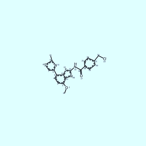 COc1ccc(-c2csc(C)n2)c2sc(NC(=O)c3ccc(CCl)cc3)nc12